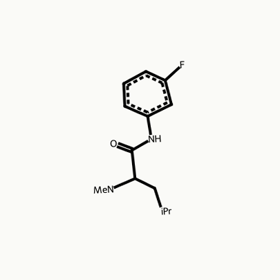 CNC(CC(C)C)C(=O)Nc1cccc(F)c1